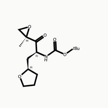 CC(C)(C)OC(=O)N[C@@H](C[C@H]1CCCO1)C(=O)[C@@]1(C)CO1